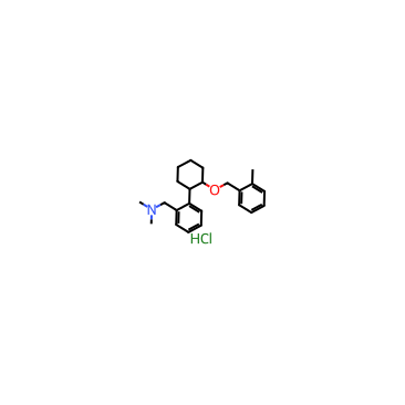 Cc1ccccc1COC1CCCCC1c1ccccc1CN(C)C.Cl